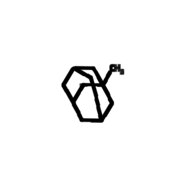 CC12[CH]C3CC(CC(C3)C1)C2